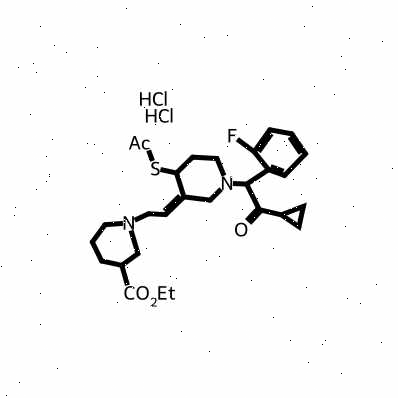 CCOC(=O)C1CCCN(CC=C2CN(C(C(=O)C3CC3)c3ccccc3F)CCC2SC(C)=O)C1.Cl.Cl